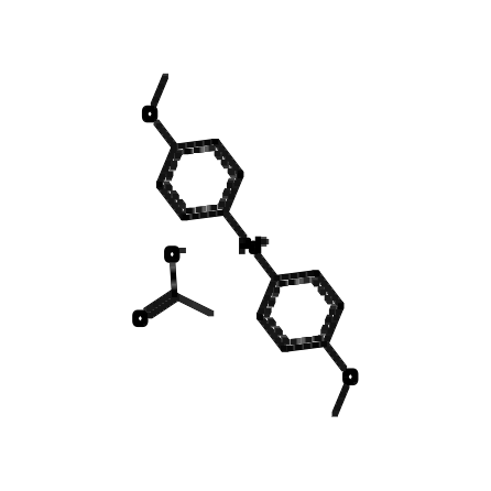 CC(=O)[O-].COc1cc[c]([Pd+][c]2ccc(OC)cc2)cc1